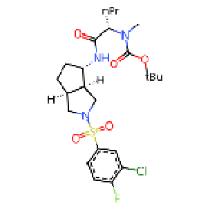 CCC[C@@H](C(=O)N[C@H]1CC[C@@H]2CN(S(=O)(=O)c3ccc(F)c(Cl)c3)C[C@@H]21)N(C)C(=O)OC(C)(C)C